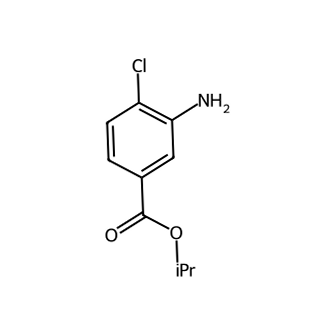 CC(C)OC(=O)c1ccc(Cl)c(N)c1